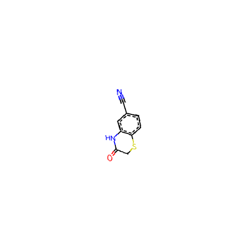 N#Cc1ccc2c(c1)NC(=O)CS2